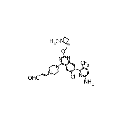 CN1CC[C@@H]1COc1nc(N2CCN(C=CC=O)CC2)c2cc(Cl)c(-c3nc(N)ccc3C(F)(F)F)cc2n1